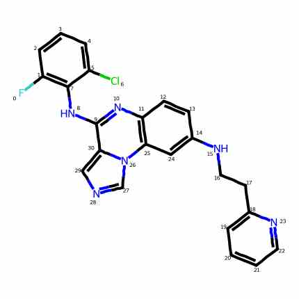 Fc1cccc(Cl)c1Nc1nc2ccc(NCCc3ccccn3)cc2n2cncc12